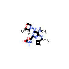 CNc1c(N[C@H](C)C2CCC2)nc(-c2n[nH]c(=O)o2)nc1NN1CCOC(C)C1C